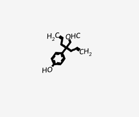 C=CCC(CC=C)(CC=O)c1ccc(O)cc1